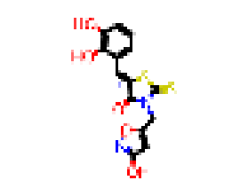 O=C1/C(=C/c2cccc(O)c2O)SC(=S)N1Cc1cc(O)no1